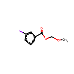 COCOC(=O)c1cccc(I)c1